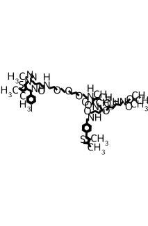 Cc1csc(-c2ccc(CNC(=O)C3C[C@@H](OC(=O)CCCNC(=O)OC(C)(C)C)CN3C(=O)[C@H](NC(=O)COCCOCCOCCNC(=O)CC3NC(c4ccc(I)cc4)c4c(sc(C)c4C)-n4c(C)nnc43)C(C)(C)C)cc2)c1C